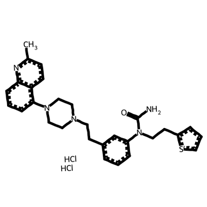 Cc1ccc2c(N3CCN(CCc4cccc(N(CCc5cccs5)C(N)=O)c4)CC3)cccc2n1.Cl.Cl